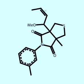 C/C=C\C(OC)C12CSCC1(C)C(=O)N(c1cccc(C)c1)C2=O